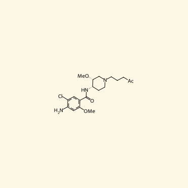 COc1cc(N)c(Cl)cc1C(=O)N[C@H]1CCN(CCCC(C)=O)C[C@H]1OC